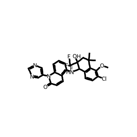 COc1c(Cl)ccc2c1C(C)(C)CC(O)(C(F)(F)F)C2Nc1cccc2c1ccc(=O)n2-c1cncnc1